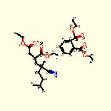 CCOC(=O)CC(CC(C)(C#N)CCC(C)C)C(=O)OCC.CCOC(=O)c1ccccc1C(=O)OCC